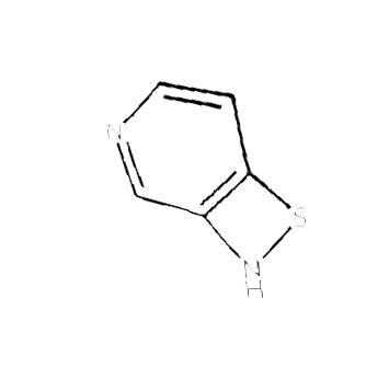 c1cc2s[nH]c2cn1